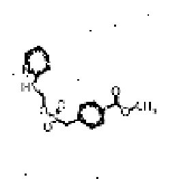 COC(=O)c1ccc(CS(=O)(=O)OCNc2ccccn2)cc1